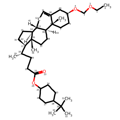 CCOCO[C@H]1CC[C@@]2(C)C(=CC[C@H]3[C@@H]4CC[C@H]([C@@H](C)CCC(=O)OC5CCC(C(C)(C)C)CC5)[C@@]4(C)CC[C@@H]32)C1